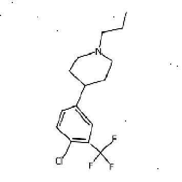 CCCN1CCC(c2ccc(Cl)c(C(F)(F)F)c2)CC1